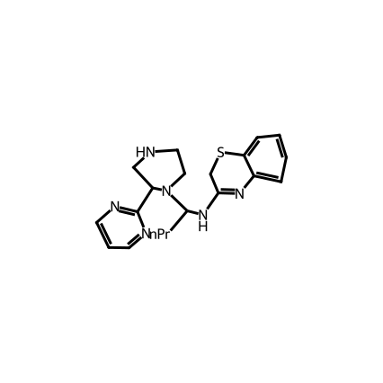 CCCC(NC1=Nc2ccccc2SC1)N1CCNCC1c1ncccn1